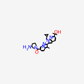 Cc1c(-c2cc3ccc(C(C)(C)O)nc3n2CC2CC2)nn2cc(C(=O)N3CCC[C@@H](N)C3)ccc12